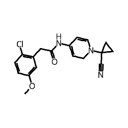 COc1ccc(Cl)c(CC(=O)NC2=CCN(C3(C#N)CC3)C=C2)c1